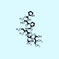 CC[C@H](C)[C@H](NC(=O)[C@H](CC(C)C)NC(=O)[C@@H](NC(=O)[C@@H]1CCCN1C(=O)[C@@H](NC(=O)[C@@H]1CCCN1)[C@@H](C)O)[C@@H](C)CC)C(=O)O